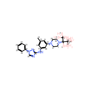 BC(B)(B)C(B)(N1CCN(c2cc(C)cc(Nc3ncn(-c4ccccc4)n3)c2)CC1)C(B)(B)B